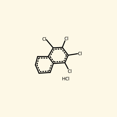 Cl.Clc1c(Cl)c(Cl)c2ccccc2c1Cl